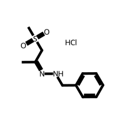 CC(CS(C)(=O)=O)=NNCc1ccccc1.Cl